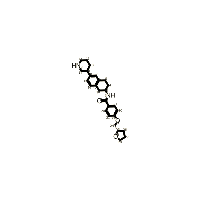 O=C(NC1CCc2cc(C3CCCNC3)ccc2C1)c1ccc(OC[C@@H]2CCCO2)cc1